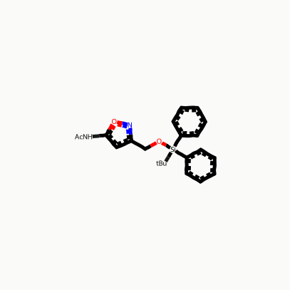 CC(=O)Nc1cc(CO[Si](c2ccccc2)(c2ccccc2)C(C)(C)C)no1